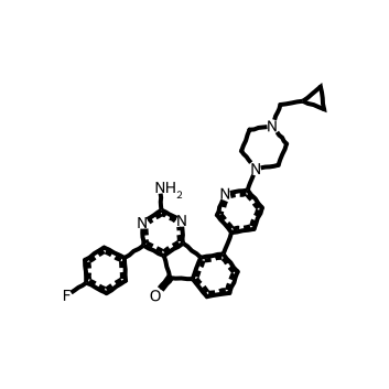 Nc1nc(-c2ccc(F)cc2)c2c(n1)-c1c(cccc1-c1ccc(N3CCN(CC4CC4)CC3)nc1)C2=O